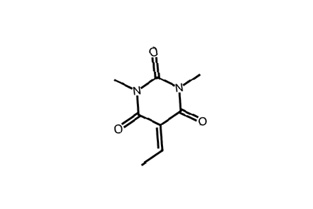 CC=C1C(=O)N(C)C(=O)N(C)C1=O